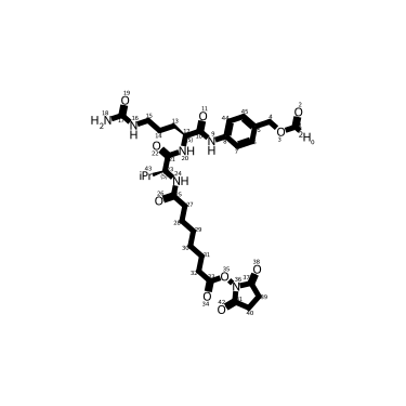 [2H]C(=O)OCc1ccc(NC(=O)[C@H](CCCNC(N)=O)NC(=O)[C@@H](NC(=O)CCCCCCC(=O)ON2C(=O)CCC2=O)C(C)C)cc1